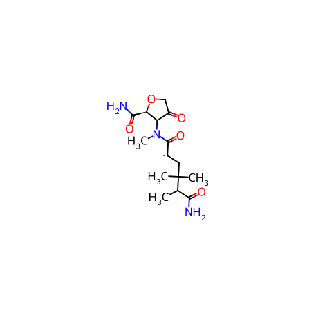 CC(C(N)=O)C(C)(C)C[CH]C(=O)N(C)C1C(=O)CO[C@@H]1C(N)=O